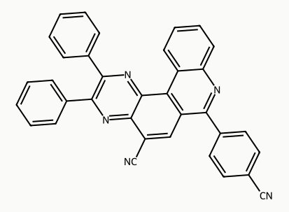 N#Cc1ccc(-c2nc3ccccc3c3c2cc(C#N)c2nc(-c4ccccc4)c(-c4ccccc4)nc23)cc1